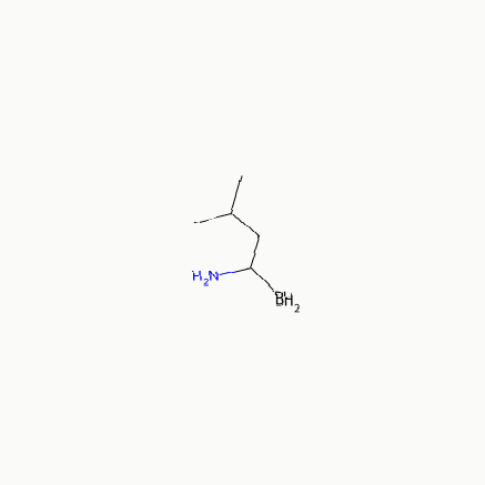 BC(N)CC(C)C